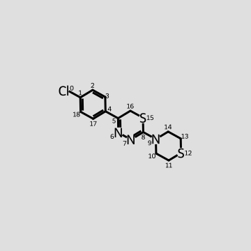 Clc1ccc(C2=NN=C(N3CCSCC3)SC2)cc1